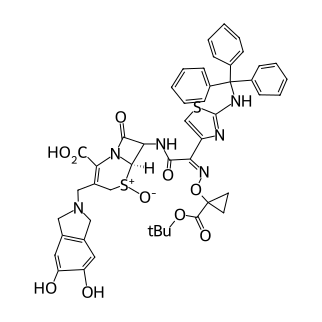 CC(C)(C)OC(=O)C1(O/N=C(\C(=O)NC2C(=O)N3C(C(=O)O)=C(CN4Cc5cc(O)c(O)cc5C4)C[S+]([O-])[C@H]23)c2csc(NC(c3ccccc3)(c3ccccc3)c3ccccc3)n2)CC1